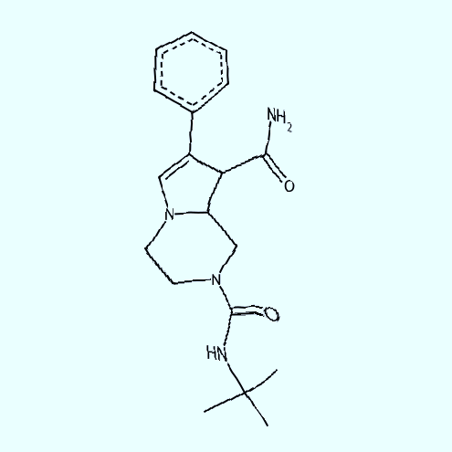 CC(C)(C)NC(=O)N1CCN2C=C(c3ccccc3)C(C(N)=O)C2C1